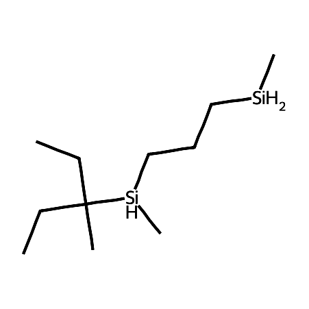 CCC(C)(CC)[SiH](C)CCC[SiH2]C